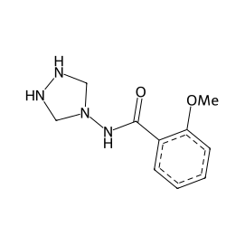 COc1ccccc1C(=O)NN1CNNC1